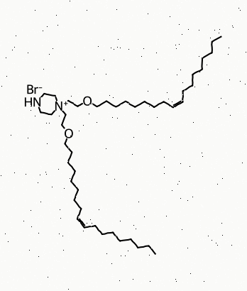 CCCCCCCC/C=C\CCCCCCCCOCC[N+]1(CCOCCCCCCCC/C=C\CCCCCCCC)CCNCC1.[Br-]